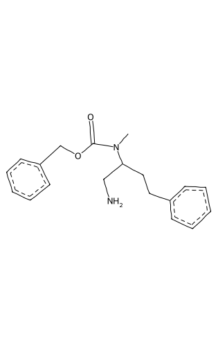 CN(C(=O)OCc1ccccc1)C(CN)CCc1ccccc1